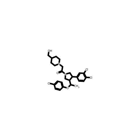 CC(Oc1ccc(Cl)cc1)C1CN(C(=O)CN2CCC(CO)CC2)CC1c1ccc(Cl)c(Cl)c1